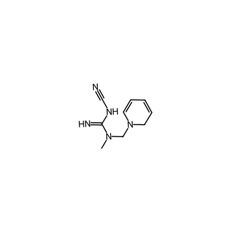 CN(CN1C=CC=CC1)C(=N)NC#N